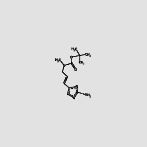 CN(CC=Cc1csc(N)n1)C(=O)OC(C)(C)C